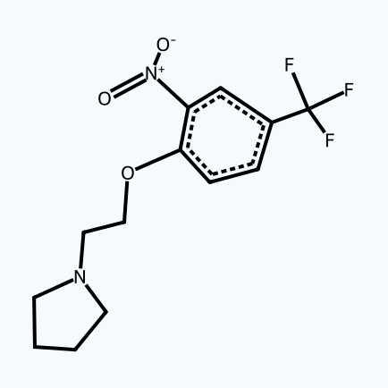 O=[N+]([O-])c1cc(C(F)(F)F)ccc1OCCN1CCCC1